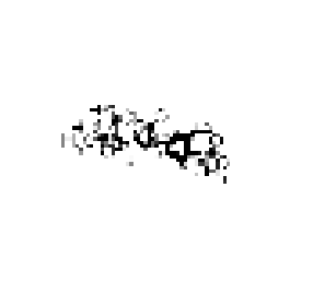 CN1C(=O)OCCc2cc(N3C[C@H](CN(C(=O)O)C(C)(C)C)OC3=O)ccc21